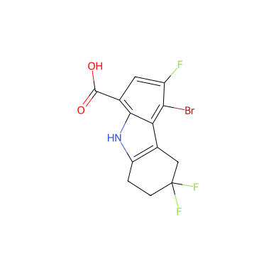 O=C(O)c1cc(F)c(Br)c2c3c([nH]c12)CCC(F)(F)C3